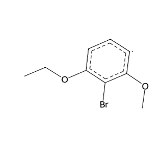 CCOc1cc[c]c(OC)c1Br